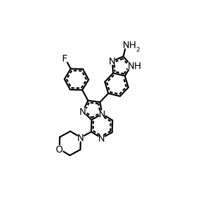 Nc1nc2cc(-c3c(-c4ccc(F)cc4)nc4c(N5CCOCC5)nccn34)ccc2[nH]1